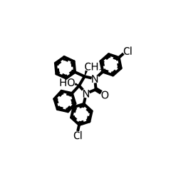 C[C@@]1(c2ccccc2)N(c2ccc(Cl)cc2)C(=O)N(c2ccc(Cl)cc2)[C@]1(O)c1ccccc1